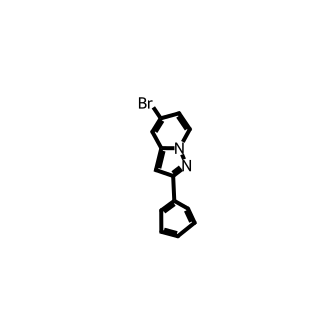 Brc1ccn2nc(-c3ccccc3)cc2c1